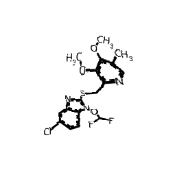 COc1c(C)cnc(CSc2nc3cc(Cl)ccc3n2OC(F)F)c1OC